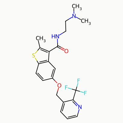 Cc1sc2ccc(OCc3cccnc3C(F)(F)F)cc2c1C(=O)NCCN(C)C